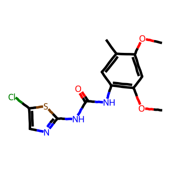 COc1cc(OC)c(NC(=O)Nc2ncc(Cl)s2)cc1C